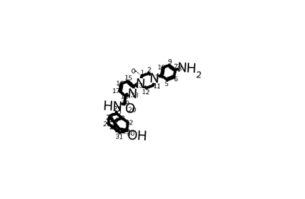 C[C@@H]1CN(c2ccc(N)cc2)CCN1c1cccc(C(=O)NC2C3CC4CC2CC(O)(C4)C3)n1